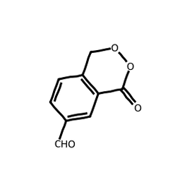 O=Cc1ccc2c(c1)C(=O)OOC2